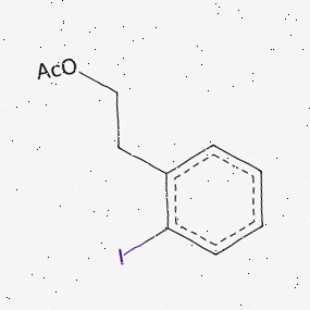 CC(=O)OCCc1ccccc1I